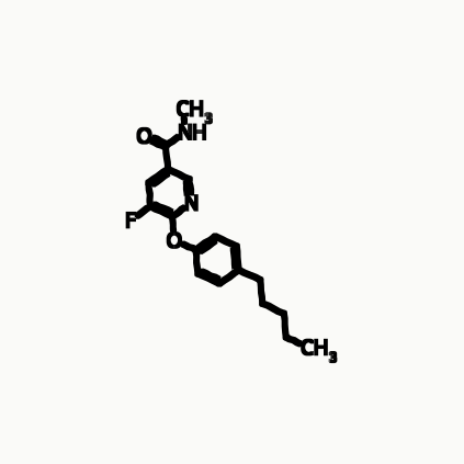 CCCCCc1ccc(Oc2ncc(C(=O)NC)cc2F)cc1